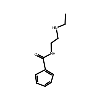 CCNCCNC(=O)c1ccccc1